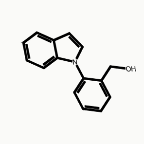 OCc1ccccc1-n1ccc2c[c]ccc21